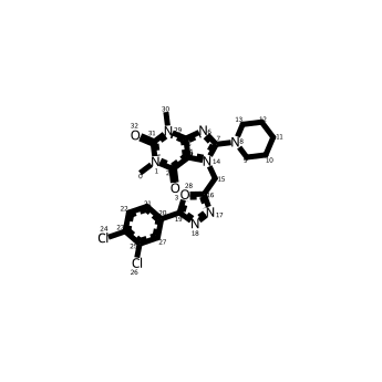 Cn1c(=O)c2c(nc(N3CCCCC3)n2Cc2nnc(-c3ccc(Cl)c(Cl)c3)o2)n(C)c1=O